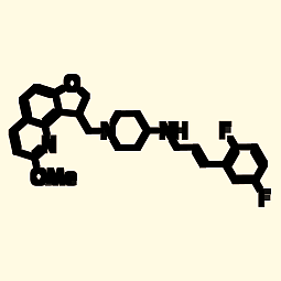 COc1ccc2ccc3c(c2n1)C(CN1CCC(NCC=Cc2cc(F)ccc2F)CC1)CO3